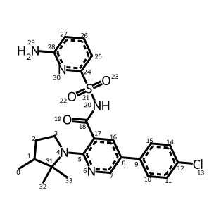 CC1CCN(c2ncc(-c3ccc(Cl)cc3)cc2C(=O)NS(=O)(=O)c2cccc(N)n2)C1(C)C